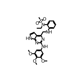 CCN(c1ccccc1NCc1nc(Nc2cc(OC)c(OC)c(OC)c2)nc2[nH]ccc12)S(C)(=O)=O